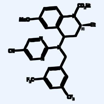 [C-]#[N+]c1cnc(N(Cc2cc(C(F)(F)F)cc(C(F)(F)F)c2)C2C[C@@H](CC)N(C(=O)OCC)c3ccc(OC)cc32)nc1